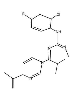 C=CN(/C=N\CC(=C)C)/C(=N/C(=N\C)NC1C=CC(F)CC1Cl)C(C)C